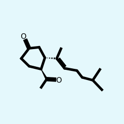 CC(=O)[C@H]1CCC(=O)C[C@@H]1/C(C)=C/CCC(C)C